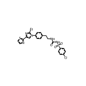 CCc1nc(-c2nccs2)cn1-c1ccc(CCNC(=O)NS(=O)(=O)c2ccc(Cl)cc2)cc1